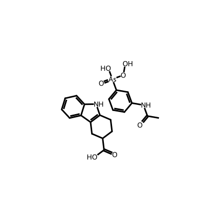 CC(=O)Nc1cccc([As](=O)(O)OO)c1.O=C(O)C1CCc2[nH]c3ccccc3c2C1